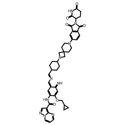 N=C1C=C(OCC2CC2)C(NC(=O)c2cnn3cccnc23)=C/C1=C/N=C/C1CCC(N2CC3(CCN(c4ccc5c(c4)C(=O)N(C4CCC(=O)NC4=O)C5=O)CC3)C2)CC1